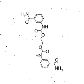 NC(=O)c1cccc(NC(=O)OCCOC(=O)Nc2cccc(C(N)=O)c2)c1